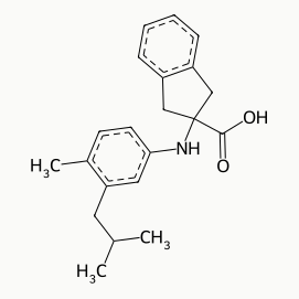 Cc1ccc(NC2(C(=O)O)Cc3ccccc3C2)cc1CC(C)C